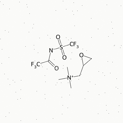 C[N+](C)(C)CC1CO1.O=C([N-]S(=O)(=O)C(F)(F)F)C(F)(F)F